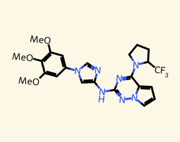 COc1cc(-n2cnc(Nc3nc(N4CCCC4C(F)(F)F)c4cccn4n3)c2)cc(OC)c1OC